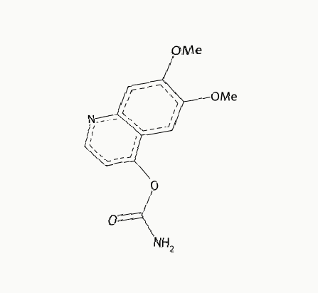 COc1cc2nccc(OC(N)=O)c2cc1OC